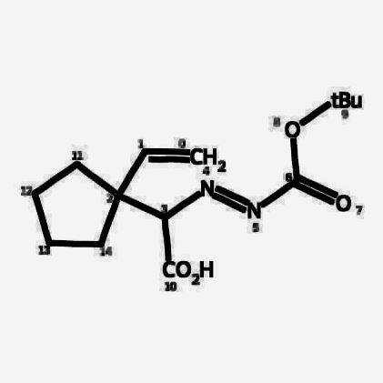 C=CC1(C(N=NC(=O)OC(C)(C)C)C(=O)O)CCCC1